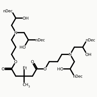 CCCCCCCCCCC(O)CN(CCCOC(=O)CC(C)(CC)CC(=O)OCCCN(CC(O)CCCCCCCCCC)CC(O)CCCCCCCCCC)CC(O)CCCCCCCCCC